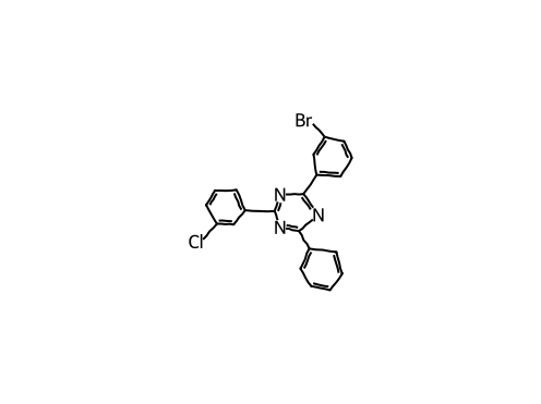 Clc1cccc(-c2nc(-c3ccccc3)nc(-c3cccc(Br)c3)n2)c1